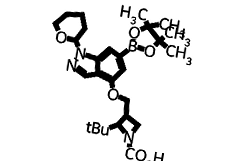 CC(C)(C)C1C(COc2cc(B3OC(C)(C)C(C)(C)O3)cc3c2cnn3C2CCCCO2)CN1C(=O)O